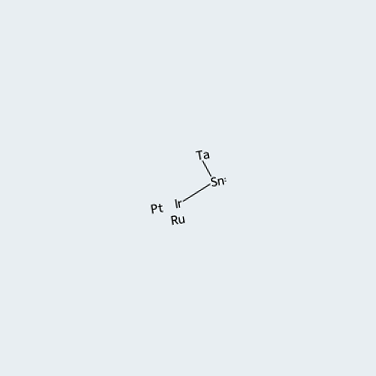 [Pt].[Ru].[Ta][Sn][Ir]